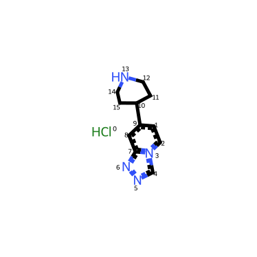 Cl.c1cn2cnnc2cc1C1CCNCC1